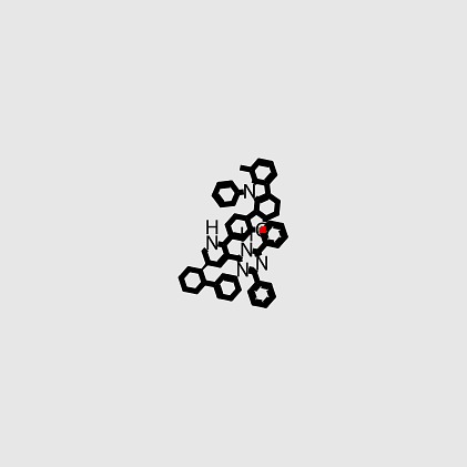 CC1C=CC=C2C3=C(C4C(CC3)OC3C=C(C5NCC([C@@H]6CCCCC6C6=CCCC=C6)C=C5C5N=C(c6ccccc6)N=C(c6ccccc6)N5)CCC34)N(C3C=CC=CC3)C21